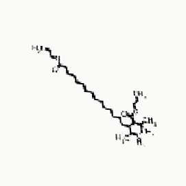 CCCOC(=O)CCCCCCCCCCCCCCC(C(C)C)C(C(=O)OCCC)C(C)C